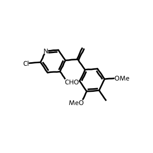 C=C(c1cc(OC)c(C)c(OC)c1)c1cnc(Cl)cc1C=O